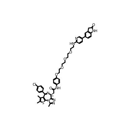 Cc1sc2c(c1C)C(c1ccc(Cl)cc1)=N[C@@H](CC(=O)Nc1ccc(OCCOCCOCCOCCNc3ccc(-c4ccc5c(c4)CC(=O)N5)cn3)cc1)c1nnc(C)n1-2